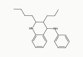 CCCCC1Nc2ccccc2C(Nc2ccccc2)C1CCC